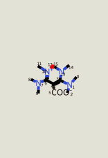 CN(C)C(=C(C(=O)[O-])C(N(C)C)=[N+](C)C)N(C)C